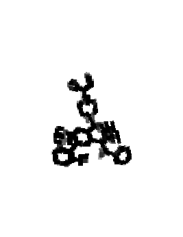 C=CC(=O)N1CCN(C(=N)c2cc(Cl)c(-c3c(O)cccc3F)cc2C(=N)[C@H](C)c2ccccc2)CC1